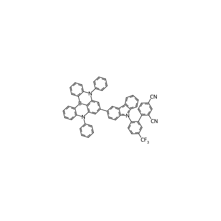 N#Cc1ccc(-c2cc(C(F)(F)F)ccc2-n2c3ccccc3c3cc(-c4cc5c6c(c4)N(c4ccccc4)c4ccccc4B6c4ccccc4N5c4ccccc4)ccc32)c(C#N)c1